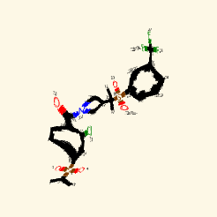 CC(C)S(=O)(=O)c1ccc(C(=O)N2CC(C(C)(C)S(=O)(=O)c3cccc(C(F)(F)F)c3)C2)c(Cl)c1